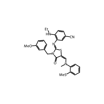 CCNc1ccc(C#N)cc1N=C1S/C(=C/N(C)c2ccccc2SC)C(=O)N1Cc1cccc(OC)c1